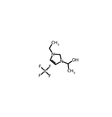 CCN1C=CN(C(C)O)C1.F[B-](F)(F)F